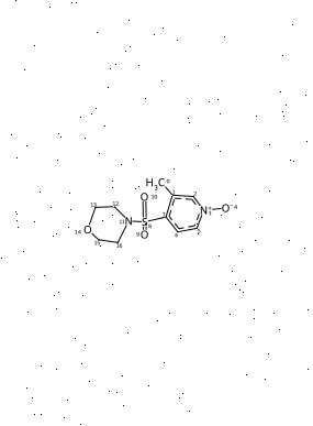 Cc1c[n+]([O-])ccc1S(=O)(=O)N1CCOCC1